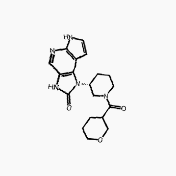 O=C(C1CCCOC1)N1CCC[C@@H](n2c(=O)[nH]c3cnc4[nH]ccc4c32)C1